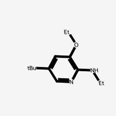 CCNc1ncc(C(C)(C)C)cc1OCC